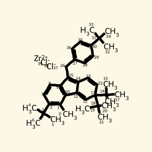 Cc1c(C(C)(C)C)ccc2c1C1=CC(C(C)(C)C)(C(C)(C)C)C=CC1=C2Cc1ccc(C(C)(C)C)cc1.[Cl-].[Cl-].[Zr+2]